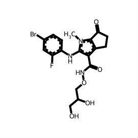 Cn1c(Nc2ccc(Br)cc2F)c(C(=O)NOCC(O)CO)c2c1C(=O)CC2